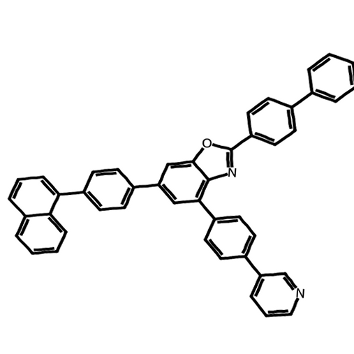 c1ccc(-c2ccc(-c3nc4c(-c5ccc(-c6cccnc6)cc5)cc(-c5ccc(-c6cccc7ccccc67)cc5)cc4o3)cc2)cc1